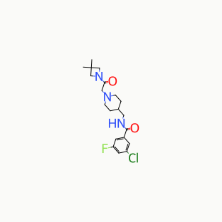 CC1(C)CN(C(=O)CN2CCC(CNC(=O)c3cc(F)cc(Cl)c3)CC2)C1